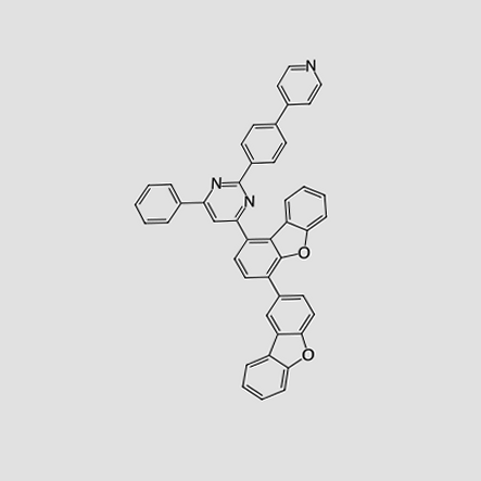 c1ccc(-c2cc(-c3ccc(-c4ccc5oc6ccccc6c5c4)c4oc5ccccc5c34)nc(-c3ccc(-c4ccncc4)cc3)n2)cc1